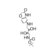 CC(C)(C)OC(=O)NC[C@@H](O)[C@H](O)CNc1ccc2c(c1)NC(=O)CO2